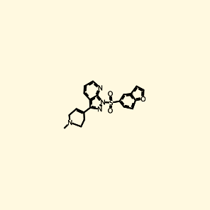 CN1CC=C(c2nn(S(=O)(=O)c3ccc4occc4c3)c3ncccc23)CC1